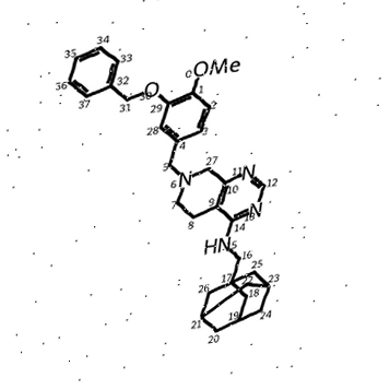 COc1ccc(CN2CCc3c(ncnc3NCC34CC5CC(CC(C5)C3)C4)C2)cc1OCc1ccccc1